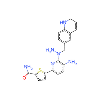 NC(=O)c1ccc(-c2ccc(N)c(N(N)Cc3ccc4c(c3)C=CCN4)n2)s1